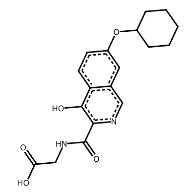 O=C(O)CNC(=O)c1ncc2cc(OC3CCCCC3)ccc2c1O